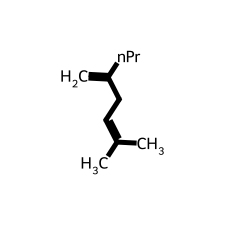 C=C(CC=C(C)C)CCC